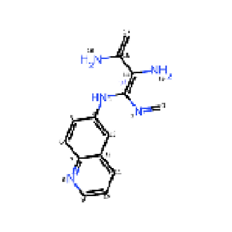 C=N/C(Nc1ccc2ncccc2c1)=C(\N)C(=C)N